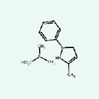 CC1=CCN(c2ccccc2)N1.CN(C)C(=O)O